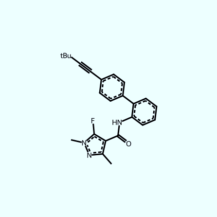 Cc1nn(C)c(F)c1C(=O)Nc1ccccc1-c1ccc(C#CC(C)(C)C)cc1